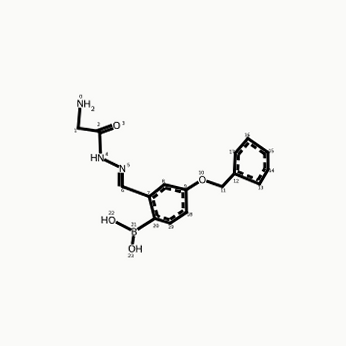 NCC(=O)N/N=C/c1cc(OCc2ccccc2)ccc1B(O)O